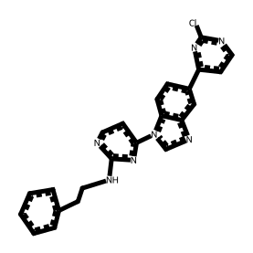 Clc1nccc(-c2ccc3c(c2)ncn3-c2ccnc(NCCc3ccccc3)n2)n1